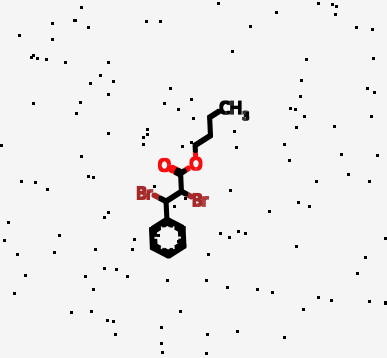 CCCCOC(=O)C(Br)C(Br)c1ccccc1